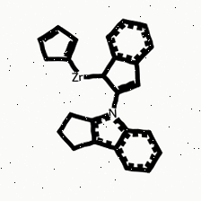 C1=CC[C]([Zr][CH]2C(n3c4c(c5ccccc53)CCC4)=Cc3ccccc32)=C1